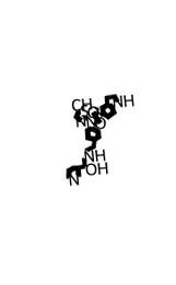 Cc1cnc(N(c2ccc(CCNCC(O)c3cccnc3)cc2)S(=O)(=O)c2ccc3c(c2)CCN3)s1